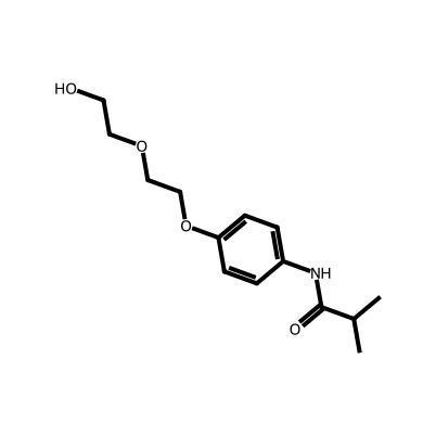 CC(C)C(=O)Nc1ccc(OCCOCCO)cc1